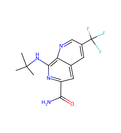 CC(C)(C)Nc1nc(C(N)=O)cc2cc(C(F)(F)F)cnc12